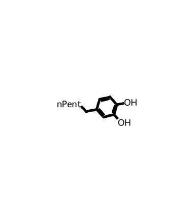 [CH2]CCCCCc1ccc(O)c(O)c1